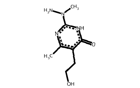 Cc1nc(N(C)N)[nH]c(=O)c1CCO